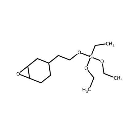 CCO[Si](CC)(OCC)OCCC1CCC2OC2C1